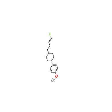 CCOc1ccc([C@H]2CC[C@H](CCC=CF)CC2)cc1